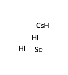 I.I.[CsH].[Sc]